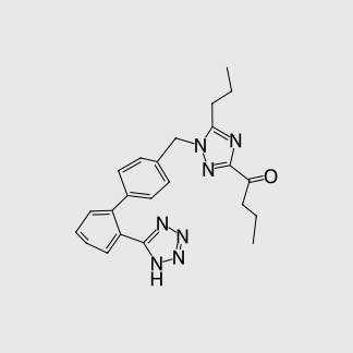 CCCC(=O)c1nc(CCC)n(Cc2ccc(-c3ccccc3-c3nnn[nH]3)cc2)n1